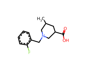 CC1CC(C(=O)O)CN(Cc2ccccc2F)C1